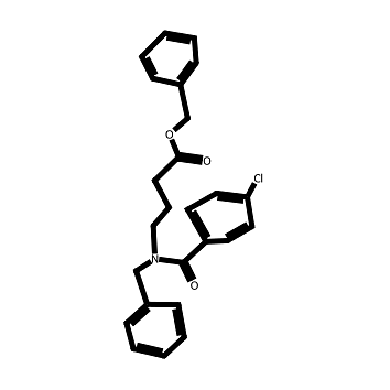 O=C(CCCN(Cc1ccccc1)C(=O)c1ccc(Cl)cc1)OCc1ccccc1